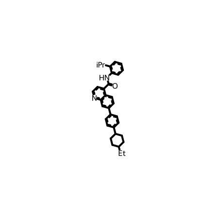 CCC1CCC(c2ccc(-c3ccc4c(C(=O)Nc5ccccc5C(C)C)ccnc4c3)cc2)CC1